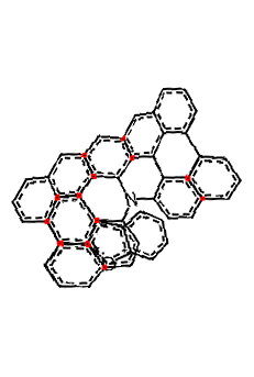 c1ccc(-c2cccc3cccc(-c4ccccc4N(c4ccccc4-c4cccc5cccc(-c6ccccc6)c45)c4ccccc4-c4cccc5oc6ccccc6c45)c23)cc1